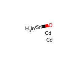 [Cd].[Cd].[InH3].[O]=[Sn]